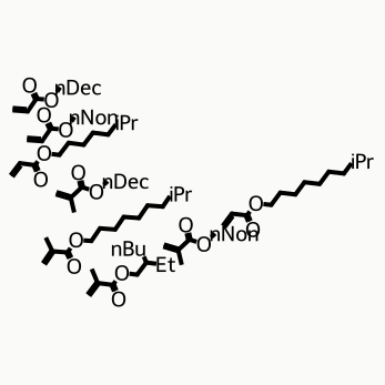 C=C(C)C(=O)OCC(CC)CCCC.C=C(C)C(=O)OCCCCCCCC(C)C.C=C(C)C(=O)OCCCCCCCCC.C=C(C)C(=O)OCCCCCCCCCC.C=CC(=O)OCCCCCC(C)C.C=CC(=O)OCCCCCCCC(C)C.C=CC(=O)OCCCCCCCCC.C=CC(=O)OCCCCCCCCCC